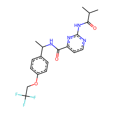 CC(C)C(=O)Nc1nccc(C(=O)NC(C)c2ccc(OCC(F)(F)F)cc2)n1